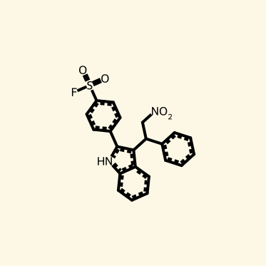 O=[N+]([O-])CC(c1ccccc1)c1c(-c2ccc(S(=O)(=O)F)cc2)[nH]c2ccccc12